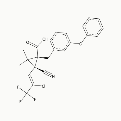 CC1(C)[C@](Cc2cccc(Oc3ccccc3)c2)(C(=O)O)[C@]1(C#N)/C=C(\Cl)C(F)(F)F